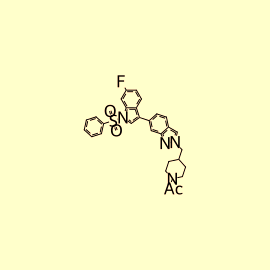 CC(=O)N1CCC(Cn2cc3ccc(-c4cn(S(=O)(=O)c5ccccc5)c5cc(F)ccc45)cc3n2)CC1